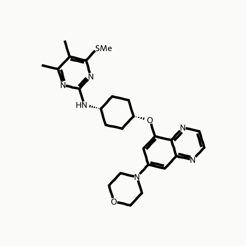 CSc1nc(N[C@H]2CC[C@@H](Oc3cc(N4CCOCC4)cc4nccnc34)CC2)nc(C)c1C